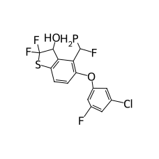 OC1c2c(ccc(Oc3cc(F)cc(Cl)c3)c2C(F)P)SC1(F)F